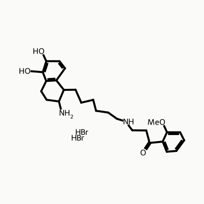 Br.Br.COc1ccccc1C(=O)CCNCCCCCCC1c2ccc(O)c(O)c2CCC1N